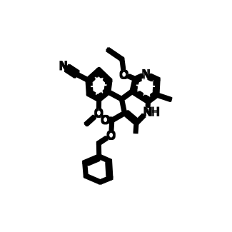 CCOc1ncc(C)c2c1C(c1ccc(C#N)cc1OC)C(C(=O)OCC1=CCCC=C1)=C(C)N2